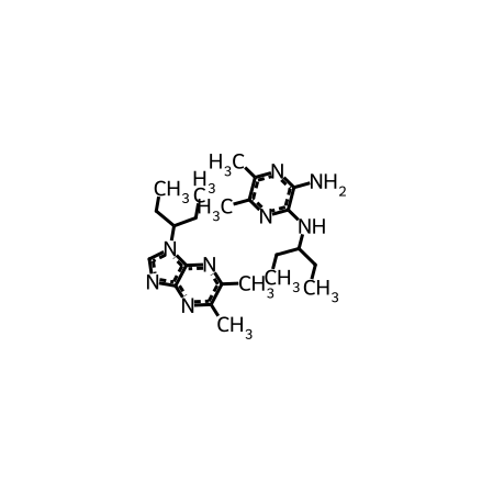 CCC(CC)Nc1nc(C)c(C)nc1N.CCC(CC)n1cnc2nc(C)c(C)nc21